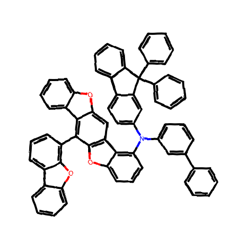 c1ccc(-c2cccc(N(c3ccc4c(c3)C(c3ccccc3)(c3ccccc3)c3ccccc3-4)c3cccc4oc5c(-c6cccc7c6oc6ccccc67)c6c(cc5c34)oc3ccccc36)c2)cc1